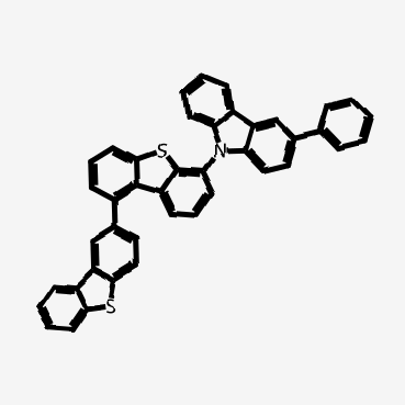 c1ccc(-c2ccc3c(c2)c2ccccc2n3-c2cccc3c2sc2cccc(-c4ccc5sc6ccccc6c5c4)c23)cc1